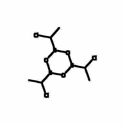 CC(Cl)B1OB(C(C)Cl)OB(C(C)Cl)O1